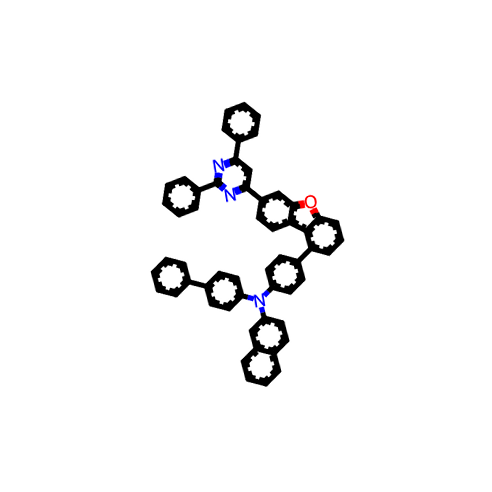 c1ccc(-c2ccc(N(c3ccc(-c4cccc5oc6cc(-c7cc(-c8ccccc8)nc(-c8ccccc8)n7)ccc6c45)cc3)c3ccc4ccccc4c3)cc2)cc1